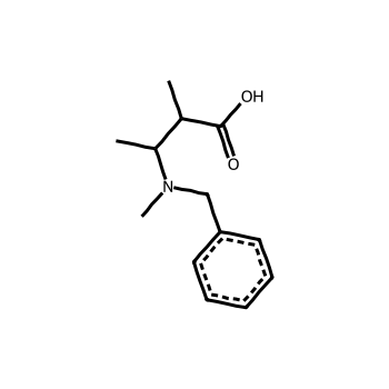 CC(C(=O)O)C(C)N(C)Cc1ccccc1